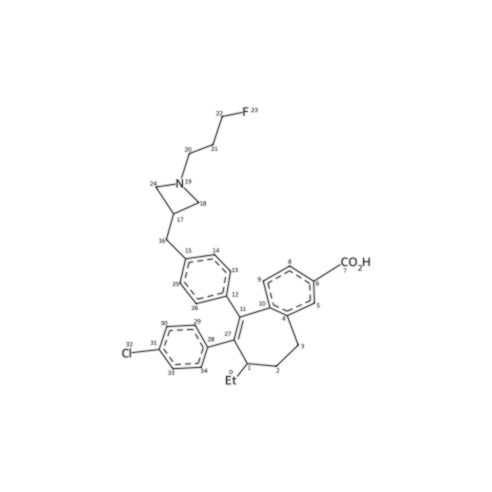 CCC1CCc2cc(C(=O)O)ccc2C(c2ccc(CC3CN(CCCF)C3)cc2)=C1c1ccc(Cl)cc1